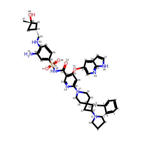 CC(C)c1ccccc1[C@@H]1CCCN1C1CC2(CCN(c3cc(Oc4cnc5[nH]ccc5c4)c(C(=O)NS(=O)(=O)c4ccc(NC[C@H]5C[C@@](C)(O)C5)c(N)c4)cn3)CC2)C1